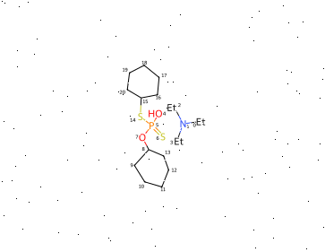 CCN(CC)CC.OP(=S)(OC1CCCCC1)SC1CCCCC1